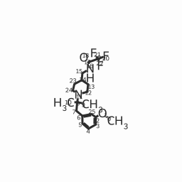 COc1cccc(CC(C)(C)N2CCC(CNC(=O)C(F)(F)F)CC2)c1